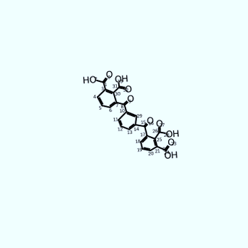 O=C(O)c1cccc(C(=O)c2cccc(C(=O)c3cccc(C(=O)O)c3C(=O)O)c2)c1C(=O)O